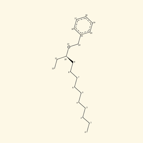 CCCCCCCCCC[C@@H](CC)OCc1ccccc1